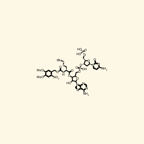 COc1cc(COC(=O)N[C@@H](CSSC(C)(C)C)C(=O)OC2C(COP(=O)(O)O[C@H]3C[C@H](n4ccc(N)nc4=O)O[C@@H]3COP(=O)(O)O)OC(n3cnc4c(N)ncnc43)C2O)c([N+](=O)[O-])cc1OC